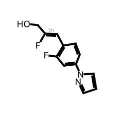 OC/C(F)=C/c1ccc(-n2cccn2)cc1F